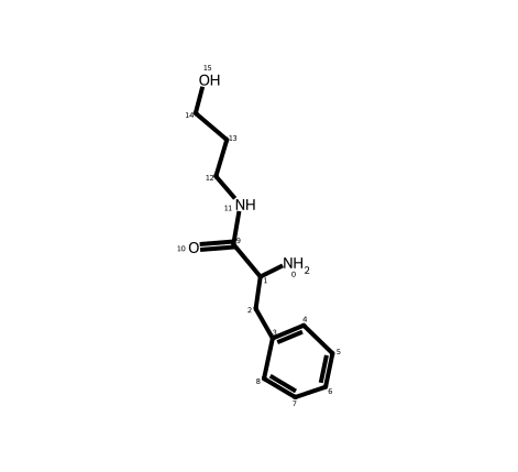 NC(Cc1ccccc1)C(=O)NCCCO